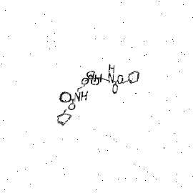 O=C(NCCO[PH](=O)OCCNC(=O)OCc1ccccc1)OCc1ccccc1